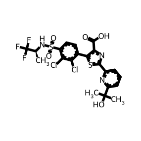 C[C@H](NS(=O)(=O)c1ccc(-c2sc(-c3cccc(C(C)(C)O)n3)nc2C(=O)O)c(Cl)c1Cl)C(F)(F)F